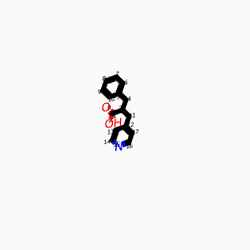 O=C(O)C(Cc1ccccc1)Cc1ccncc1